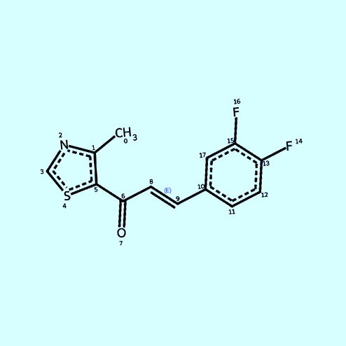 Cc1ncsc1C(=O)/C=C/c1ccc(F)c(F)c1